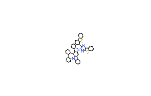 c1ccc2c(c1)-c1ccccc1-n1c3ccccc3c3cc4c(c-2c31)c1ccccc1n4-c1nc2sc3ccccc3c2nc1-c1cccc2c1sc1ccccc12